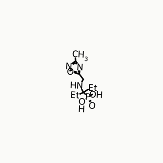 CCC(CC)(NCc1nc(C)no1)P(=O)(O)O